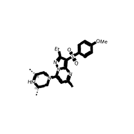 CCc1nn2c(N3C[C@@H](C)N[C@@H](C)C3)cc(C)nc2c1S(=O)(=O)c1ccc(OC)cc1